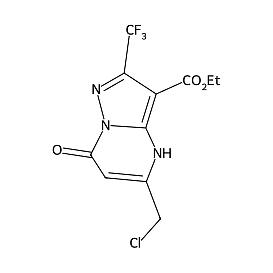 CCOC(=O)c1c(C(F)(F)F)nn2c(=O)cc(CCl)[nH]c12